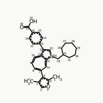 Cc1coc(C)c1C1=CC=C=c2c(-c3ccc(C(=O)O)cc3)cn(CC3CCCCCC3)c2=C1